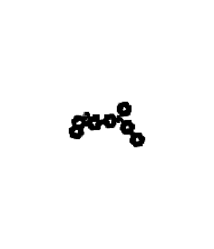 c1ccc(-c2ccc(N(c3ccccc3)c3ccc(-c4ccc5c(n4)oc4ccc6ccccc6c45)cc3)cc2)cc1